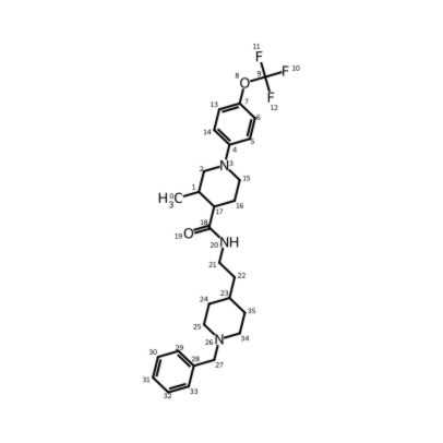 CC1CN(c2ccc(OC(F)(F)F)cc2)CCC1C(=O)NCCC1CCN(Cc2ccccc2)CC1